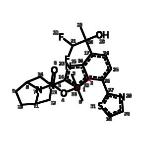 CC(C)(C)OC(=O)N1C2CCC1CN(c1nc3c(C(C)(O)C(F)F)ccc(-c4nccs4)c3o1)C2